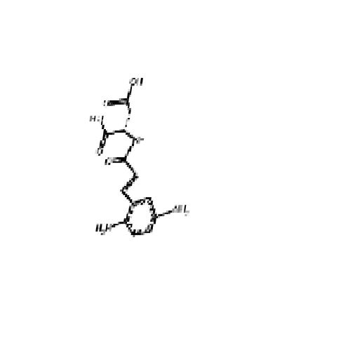 Nc1ccc(N)c(C=CC(=O)N[C@@H](CC(=O)O)C(=O)O)c1